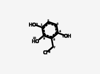 Oc1ccc(O)c(CCl)c1O